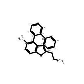 CCCC1=Cc2c(ccc(C)c2-c2ccccc2-c2ccccc2)[CH]1